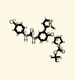 Cn1nccc1-c1cc(NC(=O)Nc2ccc(Cl)cc2)ccc1O[C@@H]1CCN(C(=O)OC(C)(C)C)C1